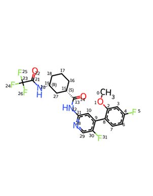 COc1cc(F)ccc1-c1cc(NC(=O)[C@H]2CCC[C@@H](NC(=O)C(F)(F)F)C2)ncc1F